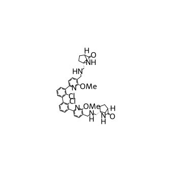 COc1nc(-c2cccc(-c3cccc(-c4ccc(CNC[C@]56CC[C@H](C5)C(=O)N6)c(OC)n4)c3Cl)c2Cl)ccc1CNC[C@]12CC[C@H](C1)C(=O)N2